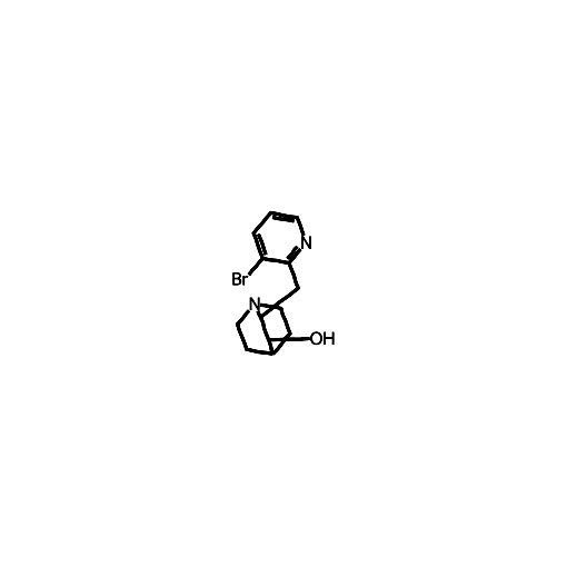 OC1C2CCN(CC2)C1Cc1ncccc1Br